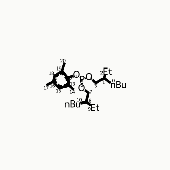 CCCCC(CC)COP(OCC(CC)CCCC)Oc1c(C)cc(C)cc1C